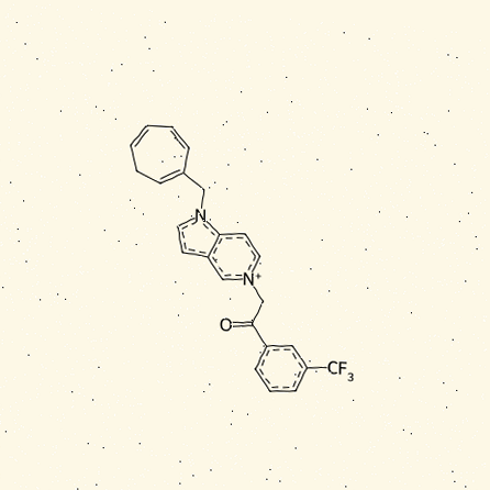 O=C(C[n+]1ccc2c(ccn2CC2=CCC=CC=C2)c1)c1cccc(C(F)(F)F)c1